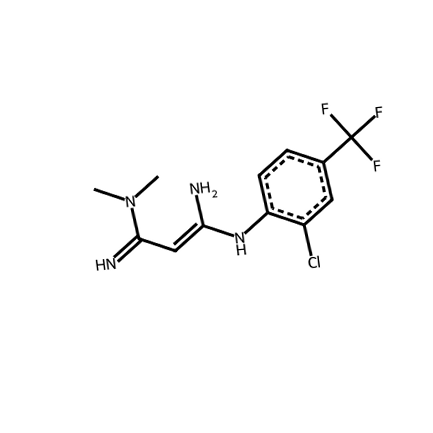 CN(C)C(=N)/C=C(\N)Nc1ccc(C(F)(F)F)cc1Cl